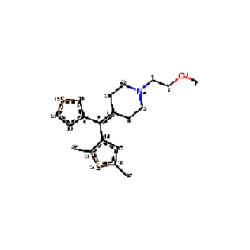 COCCN1CCC(=C(c2ccsc2)c2cc(C)sc2C)CC1